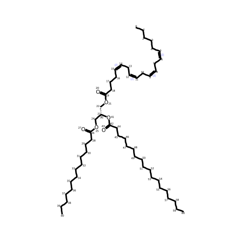 CCCCC/C=C\C/C=C\C/C=C\C/C=C\CCCC(=O)OC[C@@H](COC(=O)CCCCCCCCCCCCC)OC(=O)CCCCCCCCCCCCCCCCC